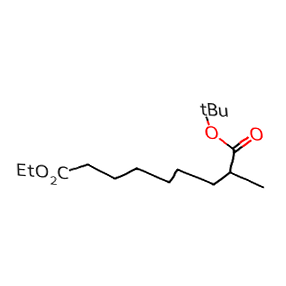 CCOC(=O)CCCCCCC(C)C(=O)OC(C)(C)C